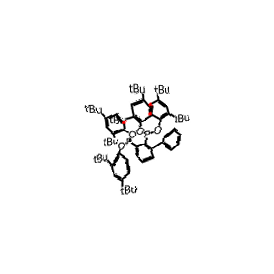 CC(C)(C)c1ccc(OP(Oc2ccc(C(C)(C)C)cc2C(C)(C)C)c2cccc(-c3ccccc3)c2P(Oc2ccc(C(C)(C)C)cc2C(C)(C)C)Oc2ccc(C(C)(C)C)cc2C(C)(C)C)c(C(C)(C)C)c1